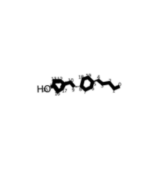 CCCCC[C@H]1CC[C@H](CCc2ccc(O)cc2)CC1